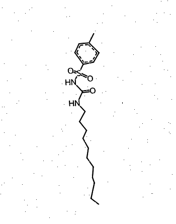 CCCCCCCCCCCNC(=O)NS(=O)(=O)c1ccc(C)cc1